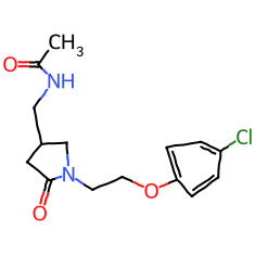 CC(=O)NCC1CC(=O)N(CCOc2ccc(Cl)cc2)C1